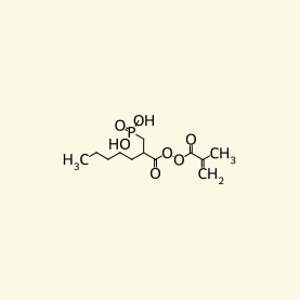 C=C(C)C(=O)OOC(=O)C(CCCCC)CP(=O)(O)O